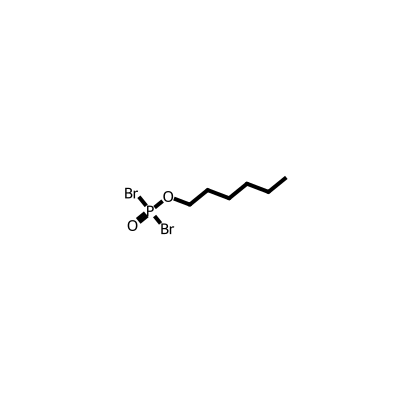 CCCCCCOP(=O)(Br)Br